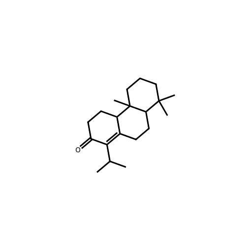 CC(C)C1=C2CCC3C(C)(C)CCCC3(C)C2CCC1=O